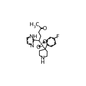 CC(=O)CCC(c1ncc[nH]1)S(=O)(=O)C1(c2ccc(F)cc2)CCNCC1